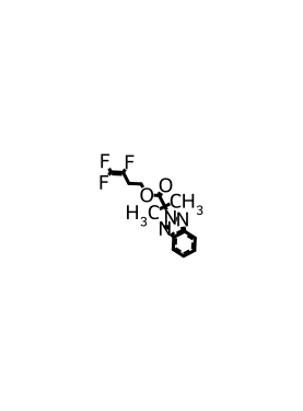 CC(C)(C(=O)OCCC(F)=C(F)F)n1nc2ccccc2n1